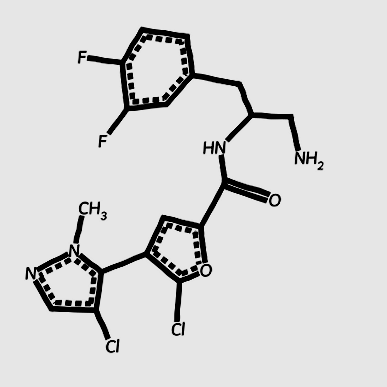 Cn1ncc(Cl)c1-c1cc(C(=O)NC(CN)Cc2ccc(F)c(F)c2)oc1Cl